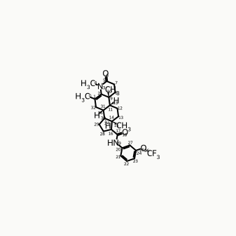 CC1=C2N(C)C(=O)CC[C@]2(C)[C@@H]2CC[C@]3(C)C(C(=O)Nc4cccc(OC(F)(F)F)c4)CC[C@H]3[C@@H]2C1